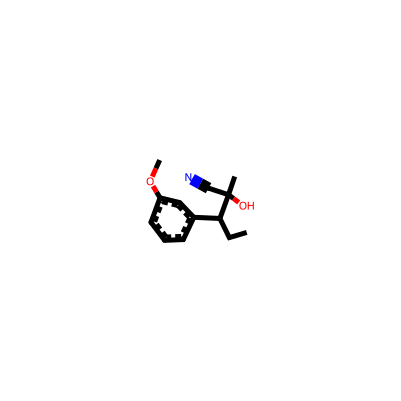 CCC(c1cccc(OC)c1)C(C)(O)C#N